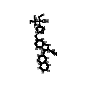 CCC(O)(c1cn(Cc2ccn3c(-c4cnc5ccccc5c4)c(C#N)cc3c2)nn1)C(F)(F)F